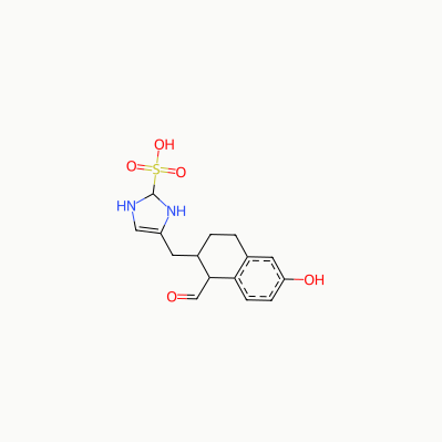 O=CC1c2ccc(O)cc2CCC1CC1=CNC(S(=O)(=O)O)N1